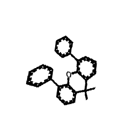 CC1(C)c2cccc(-c3ccccc3)c2Oc2c(-c3ccccc3)cccc21